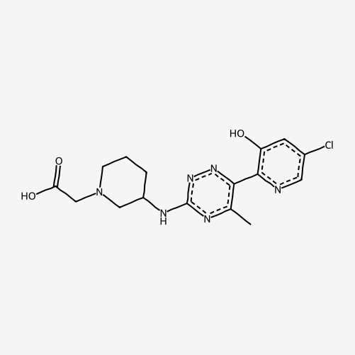 Cc1nc(NC2CCCN(CC(=O)O)C2)nnc1-c1ncc(Cl)cc1O